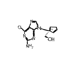 Nc1nc(Cl)c2ncn([C@]3(CO)C=CCC3)c2n1